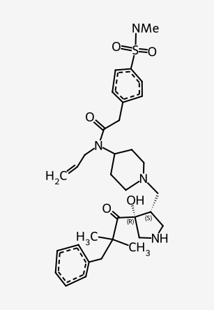 C=CCN(C(=O)Cc1ccc(S(=O)(=O)NC)cc1)C1CCN(C[C@@H]2CNC[C@@]2(O)C(=O)C(C)(C)Cc2ccccc2)CC1